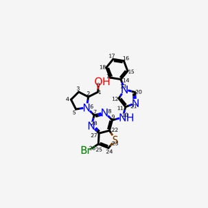 OCC1CCCN1c1nc(Nc2cn(-c3ccccc3)cn2)c2scc(Br)c2n1